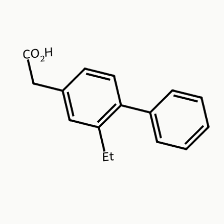 CCc1cc(CC(=O)O)ccc1-c1ccccc1